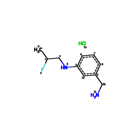 CC(F)CNc1cccc(CN)c1.Cl